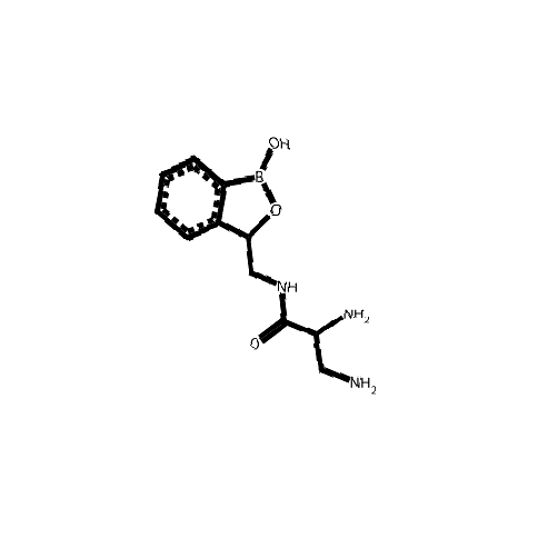 NCC(N)C(=O)NCC1OB(O)c2ccccc21